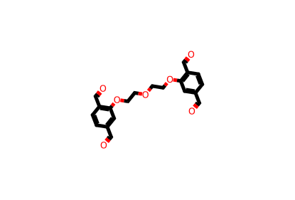 O=Cc1ccc(C=O)c(OCCOCCOc2cc(C=O)ccc2C=O)c1